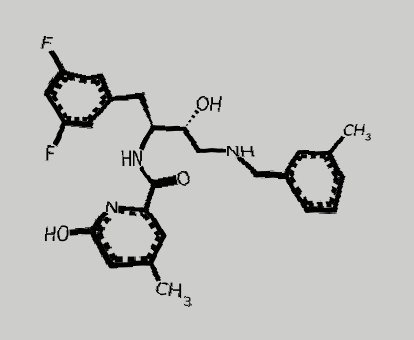 Cc1cccc(CNC[C@@H](O)[C@H](Cc2cc(F)cc(F)c2)NC(=O)c2cc(C)cc(O)n2)c1